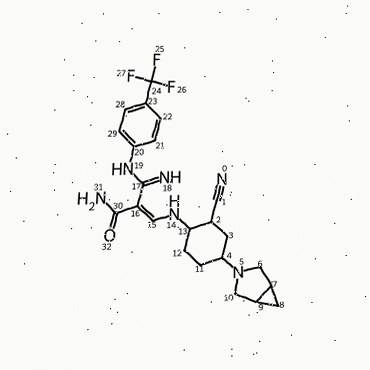 N#CC1CC(N2CC3CC3C2)CCC1N/C=C(\C(=N)Nc1ccc(C(F)(F)F)cc1)C(N)=O